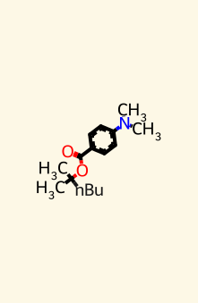 CCCCC(C)(C)OC(=O)c1ccc(N(C)C)cc1